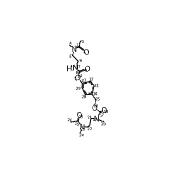 CC(=O)N(C)CCNC(=O)Oc1ccc(COC(=O)N(C)CCN(C)C(C)=O)cc1